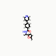 Cc1ccc(C(C)NC(=O)c2ccc(-c3ccncc3)cc2)o1